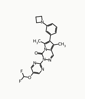 Cc1c(-c2cccc(N3CCC3)c2)c(C)n2c(=O)n(-c3ncc(OC(F)F)cn3)ncc12